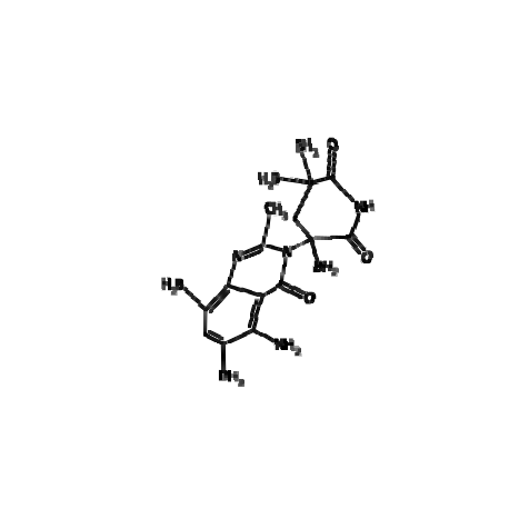 Bc1cc(B)c2nc(C)n(C3(B)CC(B)(B)C(=O)NC3=O)c(=O)c2c1N